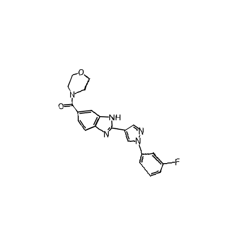 O=C(c1ccc2nc(-c3cnn(-c4cccc(F)c4)c3)[nH]c2c1)N1CCOCC1